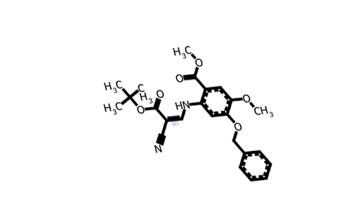 COC(=O)c1cc(OC)c(OCc2ccccc2)cc1N/C=C(/C#N)C(=O)OC(C)(C)C